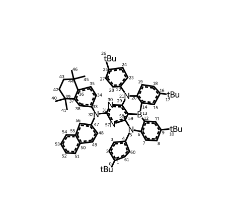 CC(C)(C)c1ccc(N2c3ccc(C(C)(C)C)cc3B3c4cc(C(C)(C)C)ccc4N(c4ccc(C(C)(C)C)cc4)c4nc(N(c5ccc6c(c5)C(C)(C)CCC6(C)C)c5ccc6ccccc6c5)nc2c43)cc1